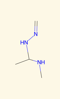 C=NNC(C)NC